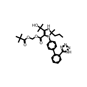 CCCC1(C)NC(C(C)(C)O)=C(C(=O)OCOC(=O)C(C)(C)C)N1c1ccc(-c2ccccc2-c2nnn[nH]2)cc1